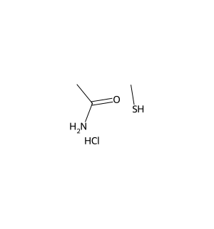 CC(N)=O.CS.Cl